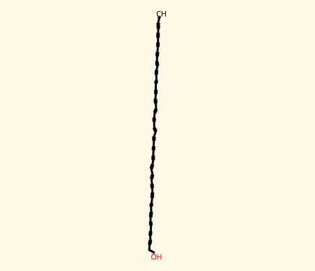 C#CC#CC#CC#CC#CC#CC#CC#CC#CC#CC#CC#CC#CC#CC#CC#CC#CC#CC#CC#CC#CC#CC#CC#CC#CCCO